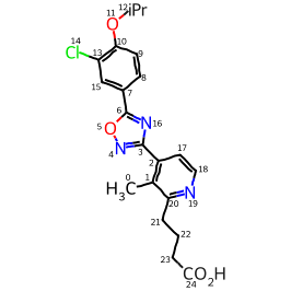 Cc1c(-c2noc(-c3ccc(OC(C)C)c(Cl)c3)n2)ccnc1CCCC(=O)O